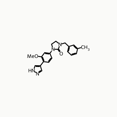 COc1cc(N2CCN(Cc3cccc(C)c3)C2=O)ccc1-c1cn[nH]c1